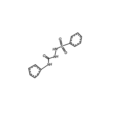 O=C(NNS(=O)(=O)c1ccccc1)Nc1ccccc1